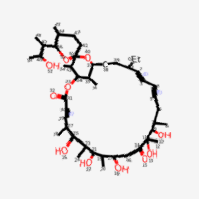 CCC1/C=C/C=C/CC(C)C(O)C(C)(O)C(=O)CC(O)C(C)C(O)C(C)C(O)C(C)/C=C/C(=O)OC2C(C)C(CC1)OC1(CCC(C)C(C(C)C(C)O)O1)C2C